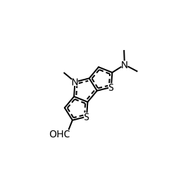 CN(C)c1cc2c(s1)c1sc(C=O)cc1n2C